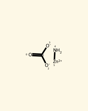 O=C([O-])[O-].[NH2][Zn+2]